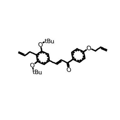 C=CCOc1ccc(C(=O)C=Cc2cc(OC(C)(C)C)c(CC=C)c(OC(C)(C)C)c2)cc1